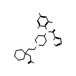 Cc1cc(C)c(N(C(=O)c2ccco2)C2CCN(CCC3(CC(=O)O)CCCCC3)CC2)c(C)c1